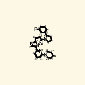 Fc1cccc(C2CCCN2c2ccc3ncc(-c4cccc(N5CC[CH]CC5)n4)n3n2)c1